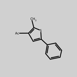 CC(=O)c1cc(-c2ccccc2)sc1C